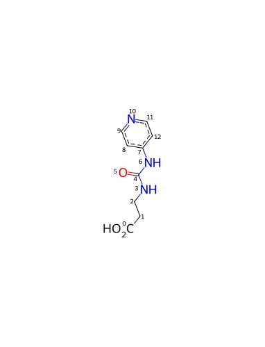 O=C(O)CCNC(=O)Nc1ccncc1